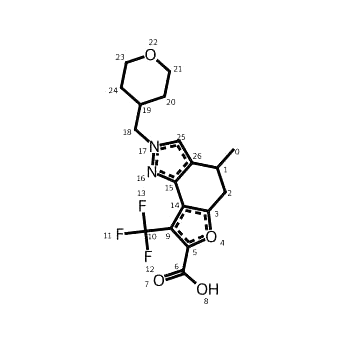 CC1Cc2oc(C(=O)O)c(C(F)(F)F)c2-c2nn(CC3CCOCC3)cc21